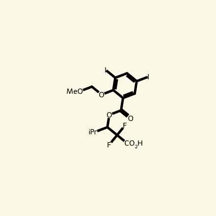 COCOc1c(I)cc(I)cc1C(=O)OC(C(C)C)C(F)(F)C(=O)O